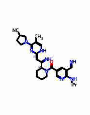 CC1=CN/C(=C\C(=N)[C@@H]2CCCCN2C(=O)c2cnc(NC(C)C)c(C=N)c2)N=C1N1CCC(C#N)C1